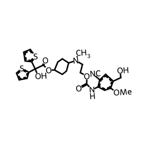 COc1cc(NC(=O)OCCN(C)C2CCC(OC(=O)C(O)(c3cccs3)c3cccs3)CC2)c(C#N)cc1CO